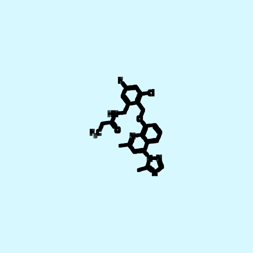 Cc1cc(-n2ncnc2C)c2cccc(OCc3c(Cl)cc(F)cc3CNC(=O)CC(F)(F)F)c2n1